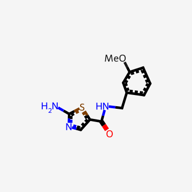 COc1cccc(CNC(=O)c2cnc(N)s2)c1